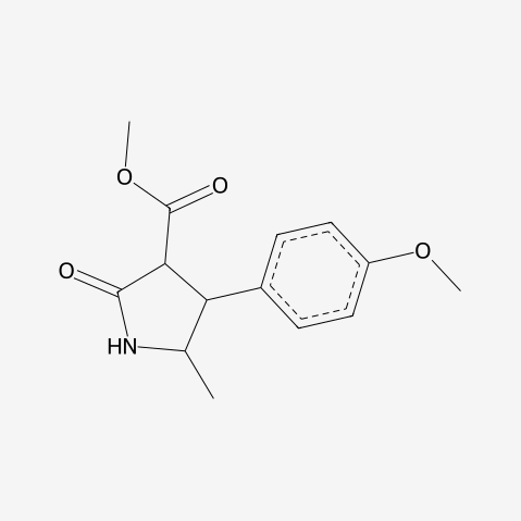 COC(=O)C1C(=O)NC(C)C1c1ccc(OC)cc1